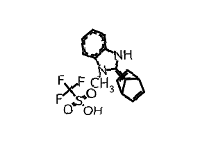 CN1C(=C2C3C=CC2C=C3)Nc2ccccc21.O=S(=O)(O)C(F)(F)F